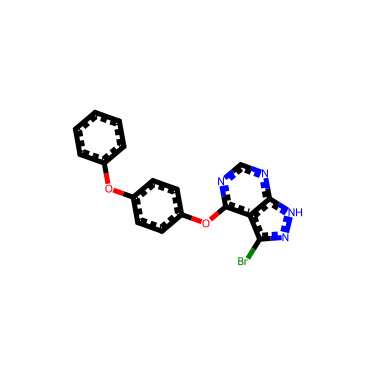 Brc1n[nH]c2ncnc(Oc3ccc(Oc4ccccc4)cc3)c12